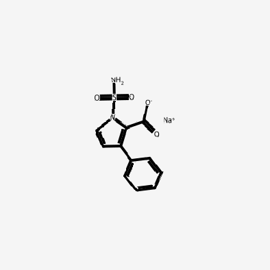 NS(=O)(=O)n1ccc(-c2ccccc2)c1C(=O)[O-].[Na+]